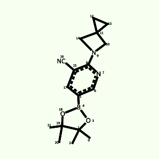 CC1(C)OB(c2cnc(N3CC4(CC4)C3)c(C#N)c2)OC1(C)C